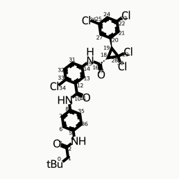 CC(C)(C)CC(=O)Nc1ccc(NC(=O)c2cc(NC(=O)[C@@H]3[C@@H](c4cc(Cl)cc(Cl)c4)C3(Cl)Cl)ccc2Cl)cc1